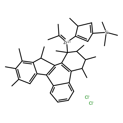 C[C](C)=[Zr+2]([C]1=CC([Si](C)(C)C)=CC1C)[C]1(C)c2c3c(c4ccccc4c2C(C)C(C)C1C)-c1cc(C)c(C)c(C)c1C3C.[Cl-].[Cl-]